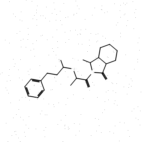 CC(NC(CCc1ccccc1)C(=O)O)C(=O)N1C(=O)C2CCCCC2C1C(=O)O